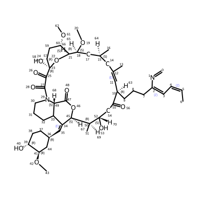 C=N/C(=C\C=C/C)CCC[C@@H]1/C=C(\C)C[C@H](C)C[C@H](OC)[C@H]2O[C@@](O)(C(=O)C(=O)N3CCCC4/C(=C\[C@@H]5CC[C@@H](O)[C@H](OC)C5)[C@@H](OC(=O)[C@H]43)[C@H](C)[C@@H](O)CC1=O)[C@H](C)C[C@@H]2OC